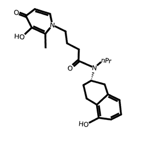 CCCN(C(=O)CCCn1ccc(=O)c(O)c1C)[C@H]1CCc2c(O)cccc2C1